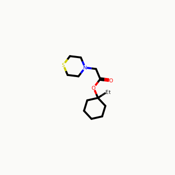 CCC1(OC(=O)CN2CCSCC2)CCCCC1